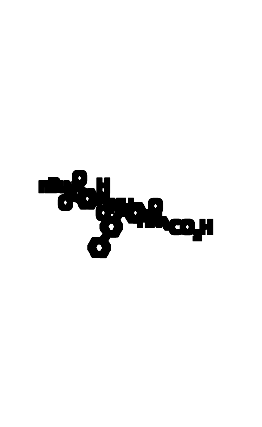 CCCCN1C(=O)c2ccc(NC(=O)NC(c3ccc(C(=O)NCCC(=O)O)cc3)C3CCC(C4CCCCC4)CC3)cc2C1=O